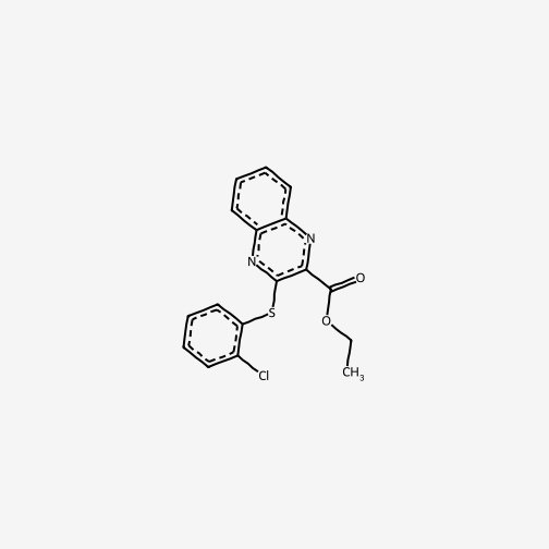 CCOC(=O)c1nc2ccccc2nc1Sc1ccccc1Cl